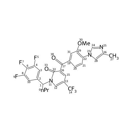 CCCC(c1cc(F)c(F)c(F)c1)n1cc(C(F)(F)F)cc(C(=O)c2ccc(-n3cnc(C)c3)c(OC)c2)c1=O